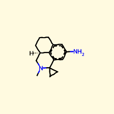 CN1C[C@H]2CCCc3cc(N)cc(c32)C12CC2